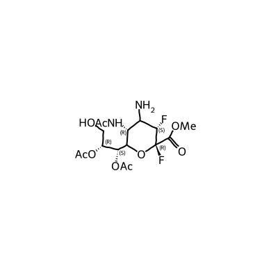 COC(=O)[C@]1(F)OC([C@H](OC(C)=O)[C@@H](CO)OC(C)=O)[C@H](NC(C)=O)C(N)[C@@H]1F